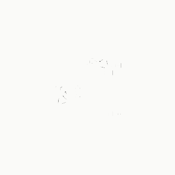 CCCCCCCCCCCCCCCCCCOC(=O)C(CCCCCCCCCCCCCCCCCC)(Cc1ccccc1)C(=O)OC(C)(C)C.Cc1ccccc1O